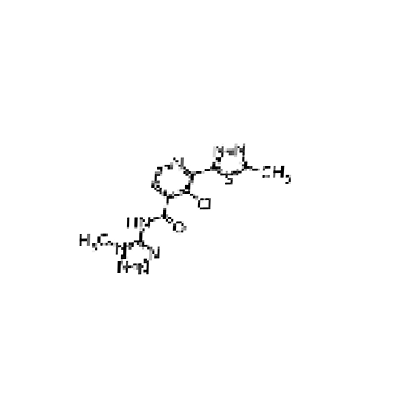 Cc1nnc(-c2nccc(C(=O)Nc3nnnn3C)c2Cl)s1